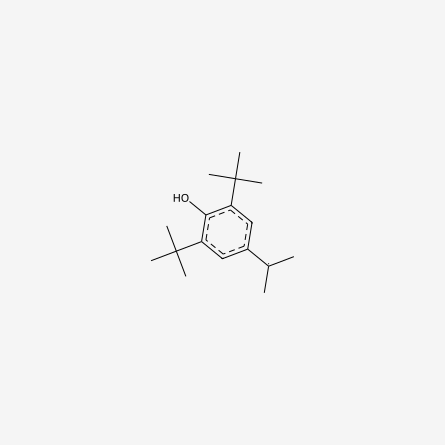 C[C](C)c1cc(C(C)(C)C)c(O)c(C(C)(C)C)c1